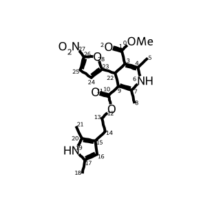 COC(=O)C1=C(C)NC(C)=C(C(=O)OCCc2cc(C)[nH]c2C)C1c1ccc([N+](=O)[O-])o1